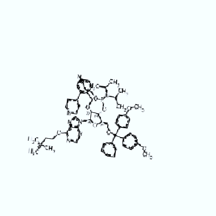 COc1ccc(C(OC[C@H]2O[C@@H](n3cnc4c(OCC[Si](C)(C)C)ncnc43)[C@H](OCc3ccccc3-c3ccncc3)[C@@H]2OP(OCCC#N)N(C(C)C)C(C)C)(c2ccccc2)c2ccc(OC)cc2)cc1